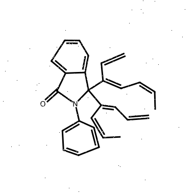 C=C/C=C(\C=C/C)C1(/C(C=C)=C/C=C\C)c2ccccc2C(=O)N1c1ccccc1